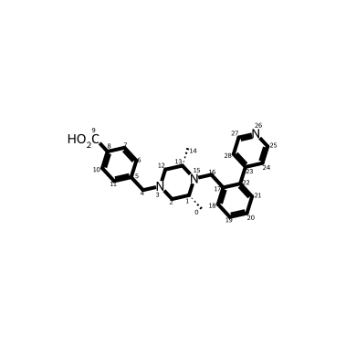 C[C@@H]1CN(Cc2ccc(C(=O)O)cc2)C[C@H](C)N1Cc1ccccc1-c1ccncc1